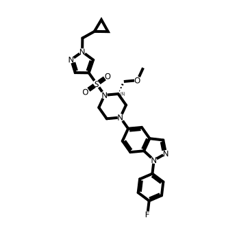 COC[C@@H]1CN(c2ccc3c(cnn3-c3ccc(F)cc3)c2)CCN1S(=O)(=O)c1cnn(CC2CC2)c1